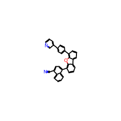 N#Cc1ccc(-c2cccc3c2oc2c(-c4ccc(-c5cccnc5)cc4)cccc23)c2ccccc12